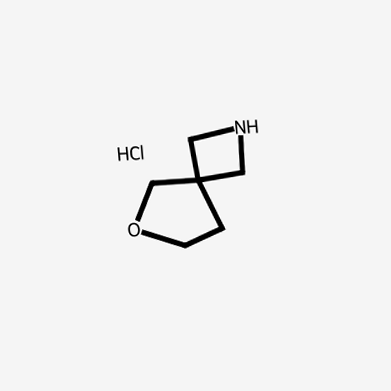 C1CC2(CNC2)CO1.Cl